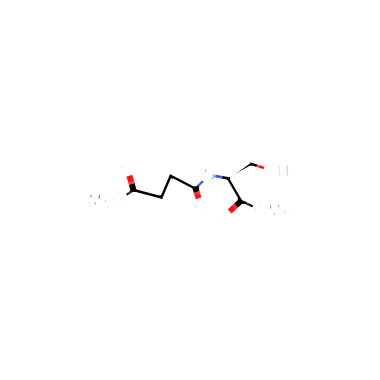 COC(=O)CCC(=O)N[C@@H](CO)C(=O)OC